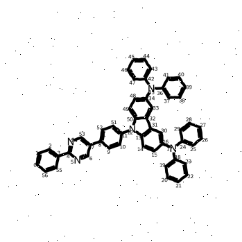 c1ccc(-c2ncc(-c3ccc(-n4c5ccc(N(c6ccccc6)c6ccccc6)cc5c5cc(N(c6ccccc6)c6ccccc6)ccc54)cc3)cn2)cc1